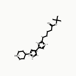 CC(C)(C)OC(=O)CCCCc1nc(-c2cnn(C3CCNCC3)c2)cs1